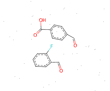 O=Cc1ccc(C(=O)O)cc1.O=Cc1ccccc1F